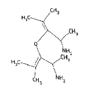 CC(C)=C(OC(=C(C)C)C(C)N)C(C)N